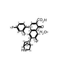 O.O=C(O)c1cn(-c2ccc(F)cc2F)c2cc(N3CC4CC3CN4)c(F)cc2c1=O